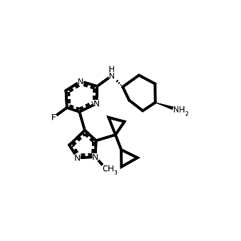 Cn1ncc(-c2nc(N[C@H]3CC[C@H](N)CC3)ncc2F)c1C1(C2CC2)CC1